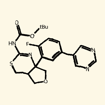 CC(C)(C)OC(=O)NC1=NC2(c3cc(-c4cncnc4)ccc3F)COCC2CS1